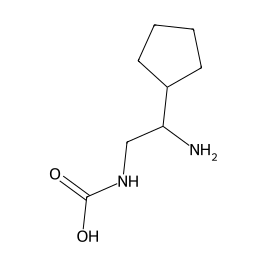 NC(CNC(=O)O)C1CCCC1